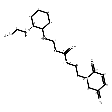 CC(=O)OCN[C@@H]1CCCCC1NCOC(=O)NCCN1CC(=O)C=CC1=O